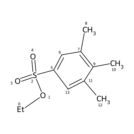 [CH2]COS(=O)(=O)c1cc(C)c(C)c(C)c1